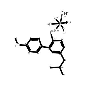 COc1ccc(-c2cc(CC(C)C)ccc2I)cc1.F[P-](F)(F)(F)(F)F.[H+]